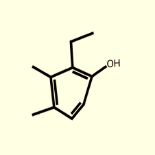 CCc1c(O)ccc(C)c1C